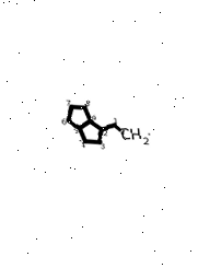 [CH2]CC1C[CH]C2CCCC21